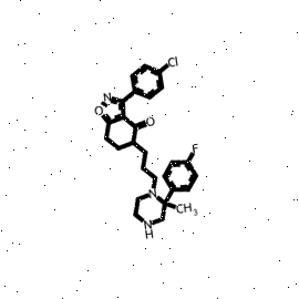 CC1(c2ccc(F)cc2)CNCCN1CCCC1CCc2onc(-c3ccc(Cl)cc3)c2C1=O